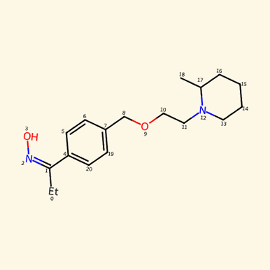 CC/C(=N/O)c1ccc(COCCN2CCCCC2C)cc1